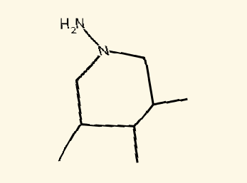 CC1CN(N)CC(C)C1C